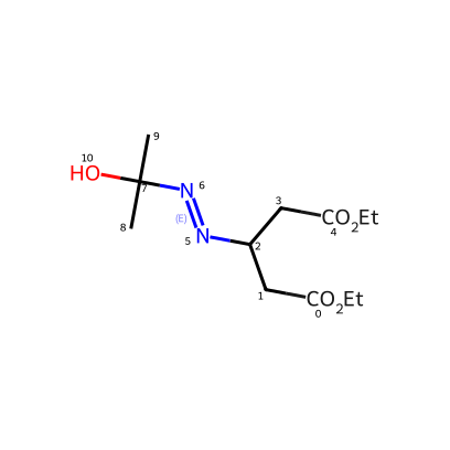 CCOC(=O)CC(CC(=O)OCC)/N=N/C(C)(C)O